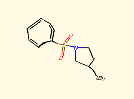 CC(C)(C)C1CCN(S(=O)(=O)c2ccccc2)C1